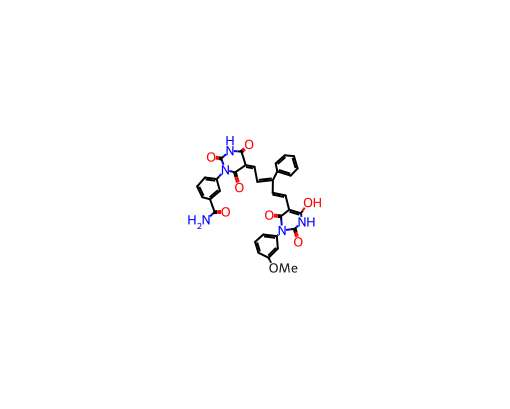 COc1cccc(-n2c(=O)[nH]c(O)c(C=CC(=CC=C3C(=O)NC(=O)N(c4cccc(C(N)=O)c4)C3=O)c3ccccc3)c2=O)c1